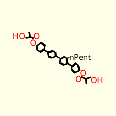 C=C(CO)C(=O)Oc1ccc(-c2ccc(-c3ccc(-c4ccc(OC(=O)C(=C)CO)cc4)c(CCCCC)c3)cc2)cc1